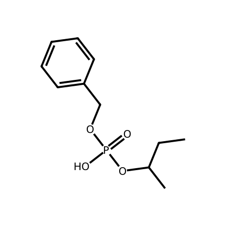 CCC(C)OP(=O)(O)OCc1ccccc1